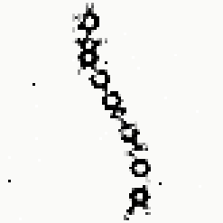 N#Cc1ccc(O[C@H]2CC[C@H](NC(=O)c3cnc(N4CC5(CCN(C6CCN(c7cc8c(cc7F)C(=O)N(C7CCC(=O)NC7=O)C8=O)CC6)CC5)C4)nc3)CC2)cc1Cl